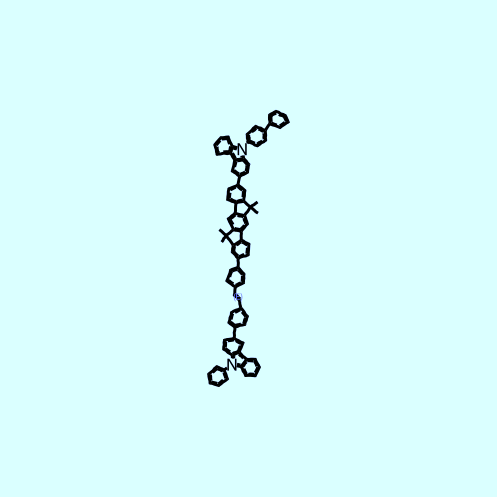 CC1(C)c2cc(-c3ccc(/C=C/c4ccc(-c5ccc6c(c5)c5ccccc5n6-c5ccccc5)cc4)cc3)ccc2-c2cc3c(cc21)-c1ccc(-c2ccc4c(c2)c2ccccc2n4-c2ccc(-c4ccccc4)cc2)cc1C3(C)C